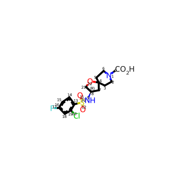 O=C(O)N1CCC2(CC1)C[C@@H](NS(=O)(=O)c1ccc(F)cc1Cl)CO2